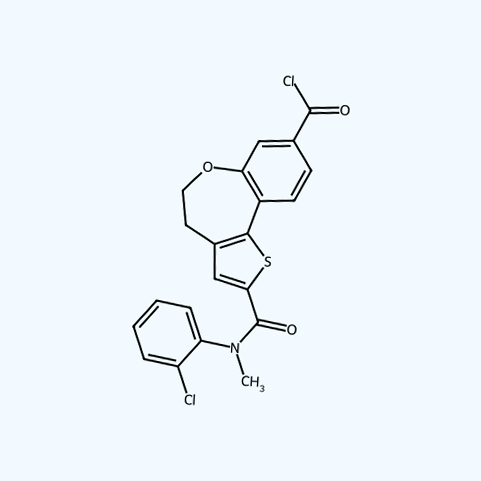 CN(C(=O)c1cc2c(s1)-c1ccc(C(=O)Cl)cc1OCC2)c1ccccc1Cl